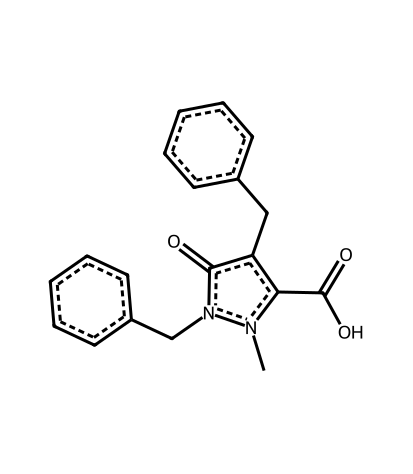 Cn1c(C(=O)O)c(Cc2ccccc2)c(=O)n1Cc1ccccc1